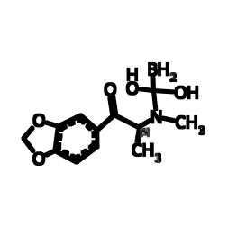 BC(O)(O)N(C)[C@@H](C)C(=O)c1ccc2c(c1)OCO2